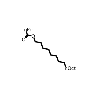 CC[CH]C(=O)OCCCCCCCCCCCCCCCC